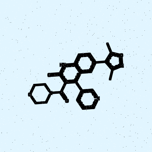 Cc1noc(C)c1-c1ccc2[nH]c(=O)c(C(=O)N3CCOCC3)c(-c3cccnc3)c2c1